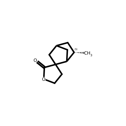 C[C@H]1CC2CC1C1(CCOC1=O)C2